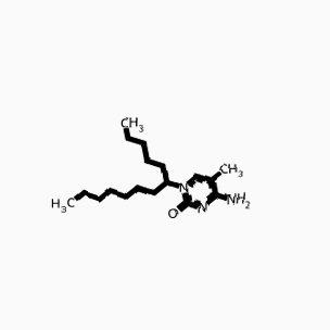 CCCCCCCC(CCCCC)n1cc(C)c(N)nc1=O